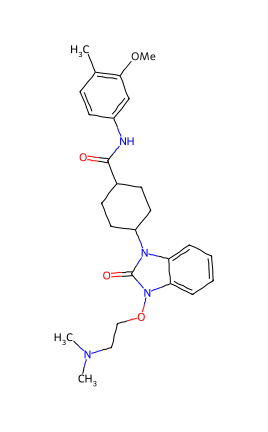 COc1cc(NC(=O)C2CCC(n3c(=O)n(OCCN(C)C)c4ccccc43)CC2)ccc1C